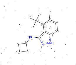 Cc1ccc2[nH]nc(NC3CCC3)c2c1C(C)(C)C